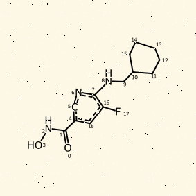 O=C(NO)c1cnc(NCC2CCCCC2)c(F)c1